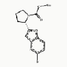 CC(C)(C)OC(=O)N1CCC[C@H]1c1cc2nc(Br)ccc2o1